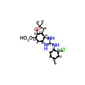 Cc1ccc(NC2Nc3cc(C(=O)O)c4c(c3N2)CC(C)(C)O4)c(Cl)c1